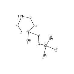 CC(C)[Si](OCC1(O)CCNCC1)(C(C)C)C(C)C